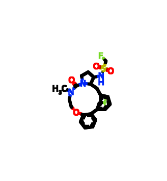 CN1CCOc2ccccc2-c2cccc(c2F)CC2C(NS(=O)(=O)CF)CCN2C1=O